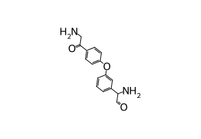 NCC(=O)c1ccc(Oc2cccc(C(N)C=O)c2)cc1